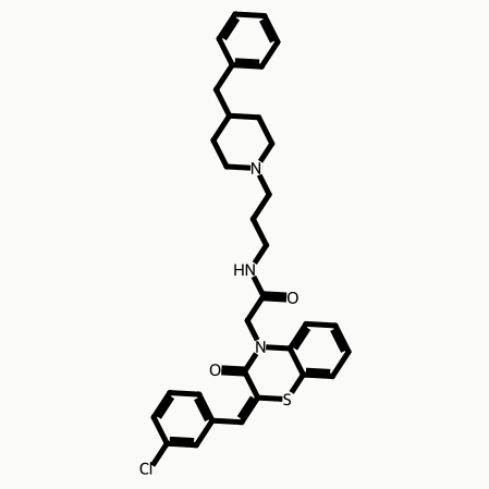 O=C(CN1C(=O)/C(=C\c2cccc(Cl)c2)Sc2ccccc21)NCCCN1CCC(Cc2ccccc2)CC1